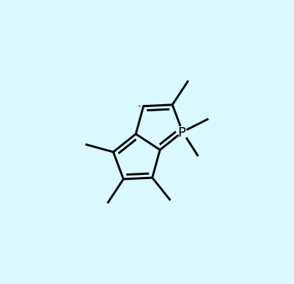 CC1=[C]C2=C(C)C(C)=C(C)C2=P1(C)C